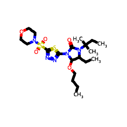 CCCCOC1C(CC)N(C(C)(C)CC)C(=O)N1c1nnc(S(=O)(=O)N2CCOCC2)s1